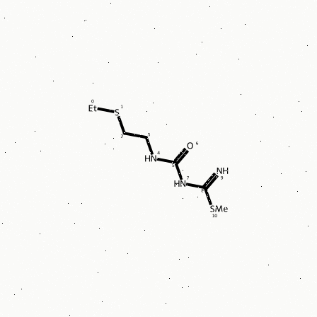 CCSCCNC(=O)NC(=N)SC